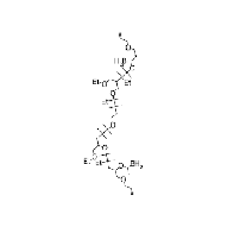 BCC(C)(OC/C=C\OCC=C)C(C)(CC)C(COCC)COC(C)(CC)C(C)(C)CCOC(C)(C)C(C)(C)CC(COCC)OC(C)(C)C(C)(CC)CC(COCC=C)OC(B)C